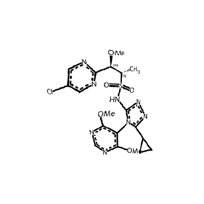 COc1ncnc(OC)c1-n1c(NS(=O)(=O)[C@@H](C)[C@H](OC)c2ncc(Cl)cn2)nnc1C1CC1